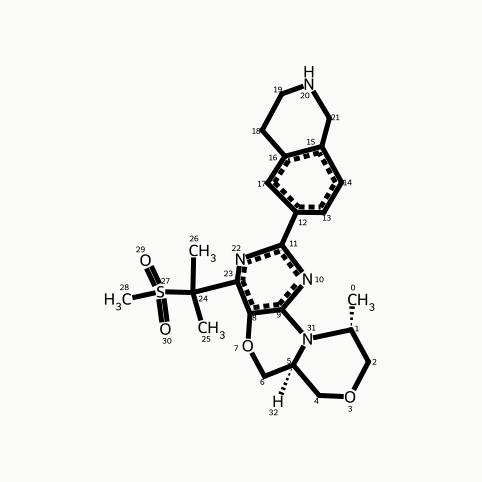 C[C@@H]1COC[C@H]2COc3c(nc(-c4ccc5c(c4)CCNC5)nc3C(C)(C)S(C)(=O)=O)N21